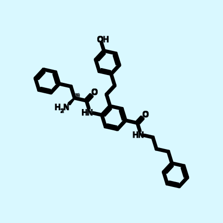 N[C@@H](Cc1ccccc1)C(=O)Nc1ccc(C(=O)NCCCc2ccccc2)cc1CCc1ccc(O)cc1